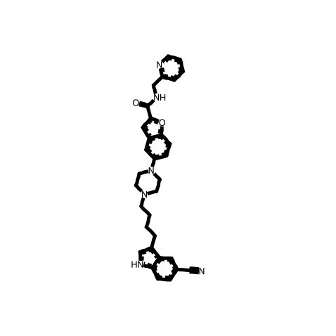 N#Cc1ccc2[nH]cc(CCCCN3CCN(c4ccc5oc(C(=O)NCc6ccccn6)cc5c4)CC3)c2c1